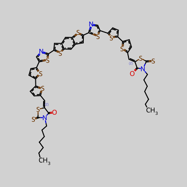 CCCCCCCN1C(=O)/C(=C/c2ccc(-c3ccc(-c4cnc(-c5cc6cc7sc(-c8ncc(-c9ccc(-c%10ccc(/C=C%11\SC(=S)N(CCCCCCC)C%11=O)s%10)s9)s8)cc7cc6s5)s4)s3)s2)SC1=S